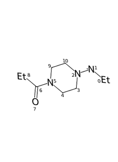 CC[N]N1CCN(C(=O)CC)CC1